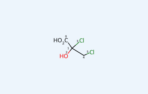 O=C(O)C(O)(Cl)CCl